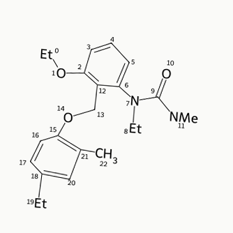 CCOc1cccc(N(CC)C(=O)NC)c1COc1ccc(CC)cc1C